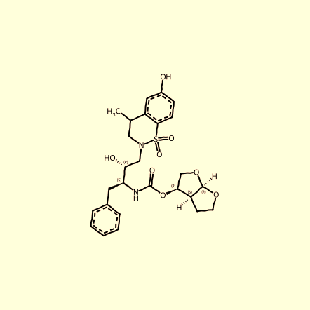 CC1CN(C[C@@H](O)[C@H](Cc2ccccc2)NC(=O)O[C@H]2CO[C@H]3OCC[C@H]32)S(=O)(=O)c2ccc(O)cc21